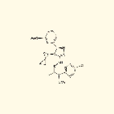 COc1cccc(-c2nnc(NSC(C)C(OC)c3ncc(Cl)cn3)n2C2CC23CC3)n1